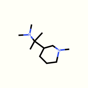 CN1CCCC(C(C)(C)N(C)C)C1